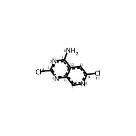 Nc1nc(Cl)nc2cnc(Cl)cc12